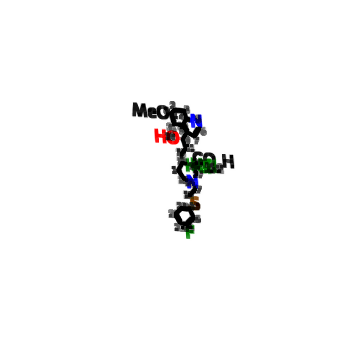 COc1ccc2nccc([C@@H](O)CC[C@@H]3CCN(CCSc4cccc(F)c4)C[C@@H]3C(=O)O)c2c1.Cl.Cl